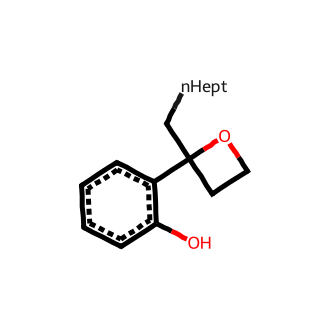 CCCCCCCCC1(c2ccccc2O)CCO1